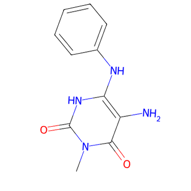 Cn1c(=O)[nH]c(Nc2ccccc2)c(N)c1=O